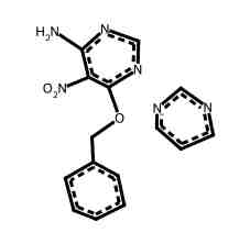 Nc1ncnc(OCc2ccccc2)c1[N+](=O)[O-].c1cncnc1